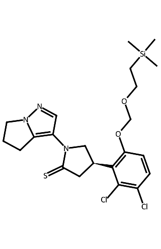 C[Si](C)(C)CCOCOc1ccc(Cl)c(Cl)c1[C@H]1CC(=S)N(c2cnn3c2CCC3)C1